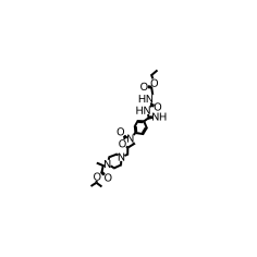 CCOC(=O)CNC(=O)NC(=N)c1ccc(N2CC(CN3CCN(C(C)C(=O)OC(C)C)CC3)OC2=O)cc1